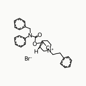 O=C(O[C@H]1C[N+]2(CCc3ccccc3)CCC1CC2)N(Cc1ccccc1)c1ccccc1.[Br-]